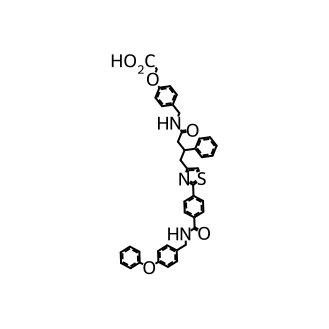 O=C(O)COc1ccc(CNC(=O)CC(Cc2csc(-c3ccc(C(=O)NCc4ccc(Oc5ccccc5)cc4)cc3)n2)c2ccccc2)cc1